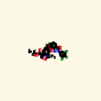 COC(=O)C1CON(C)[C@]12CC1CCC(C2)[C@H]1S(=O)(=O)c1cc(C(=O)Nc2cc(F)c(F)c(F)c2)ccc1Cl